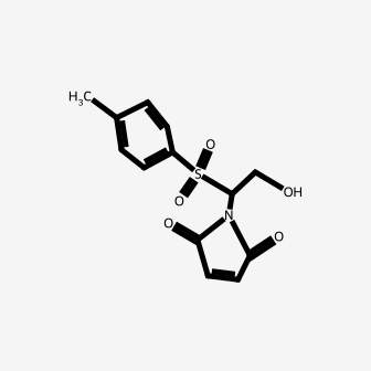 Cc1ccc(S(=O)(=O)C(CO)N2C(=O)C=CC2=O)cc1